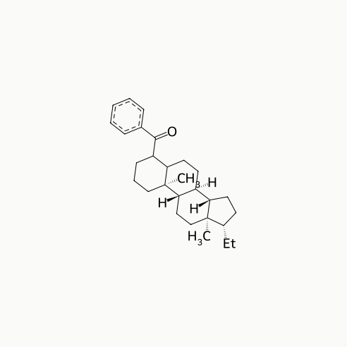 CC[C@H]1CC[C@H]2[C@@H]3CCC4C(C(=O)c5ccccc5)CCC[C@]4(C)[C@H]3CC[C@]12C